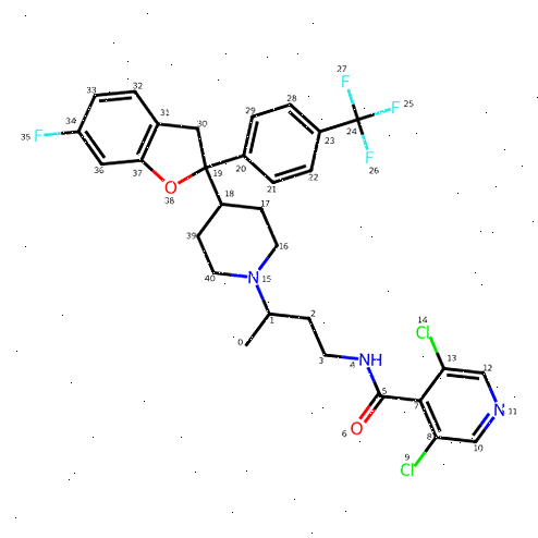 CC(CCNC(=O)c1c(Cl)cncc1Cl)N1CCC(C2(c3ccc(C(F)(F)F)cc3)Cc3ccc(F)cc3O2)CC1